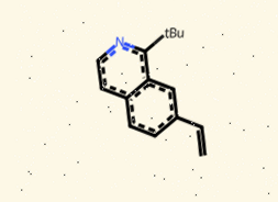 C=Cc1ccc2ccnc(C(C)(C)C)c2c1